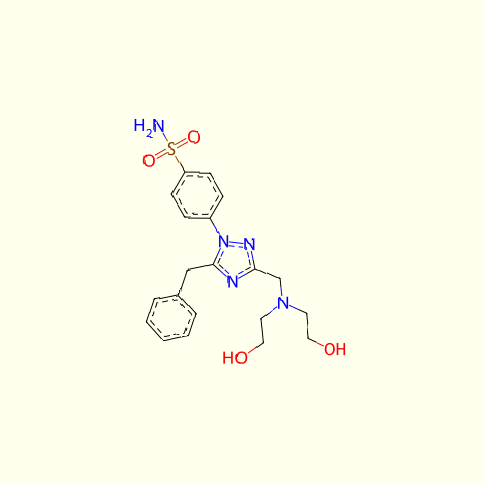 NS(=O)(=O)c1ccc(-n2nc(CN(CCO)CCO)nc2Cc2ccccc2)cc1